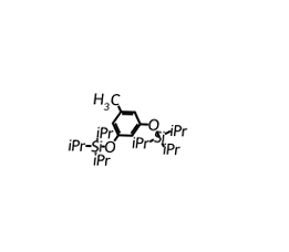 Cc1cc(O[Si](C(C)C)(C(C)C)C(C)C)cc(O[Si](C(C)C)(C(C)C)C(C)C)c1